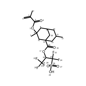 C=C(C)C(=O)OC1(C)CC2CC(C)CC(C(=O)OC(C(F)(F)F)C(F)(F)S(=O)(=O)O)(C2)C1